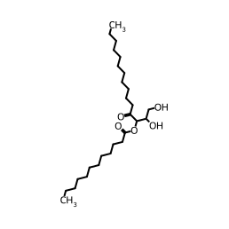 CCCCCCCCCCCC(=O)OC(C(=O)CCCCCCCCCCC)C(O)CO